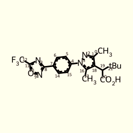 Cc1nn(-c2ccc(-c3noc(C(F)(F)F)n3)cc2)c(C)c1C(C(=O)O)C(C)(C)C